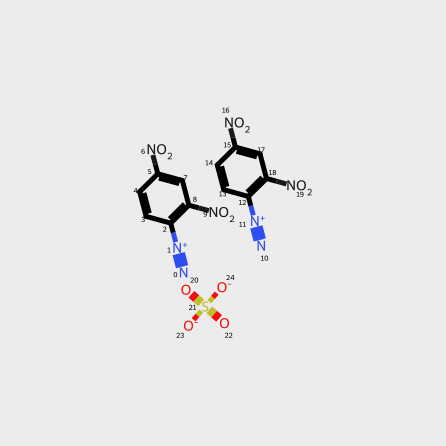 N#[N+]c1ccc([N+](=O)[O-])cc1[N+](=O)[O-].N#[N+]c1ccc([N+](=O)[O-])cc1[N+](=O)[O-].O=S(=O)([O-])[O-]